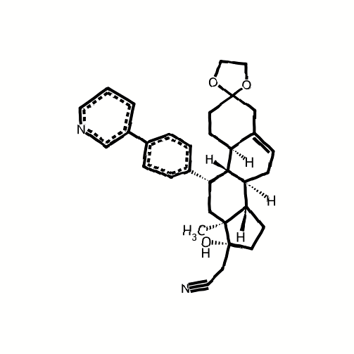 C[C@]12C[C@H](c3ccc(-c4cccnc4)cc3)[C@H]3[C@@H](CC=C4CC5(CC[C@@H]43)OCCO5)[C@@H]1CC[C@@]2(O)CC#N